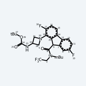 CCCCN(CC(F)(F)F)C(=O)C1c2cc(F)ccc2-c2ccc(F)c(N3CC(NC(=O)OC(C)(C)C)C3)c21